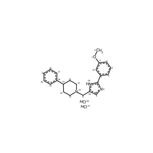 COc1cccc(-c2ncc(CN3CCC(c4ccccc4)CC3)[nH]2)c1.Cl.Cl